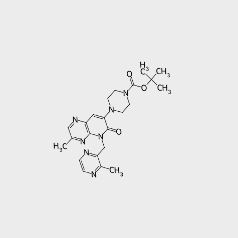 Cc1cnc2cc(N3CCN(C(=O)OC(C)(C)C)CC3)c(=O)n(Cc3nccnc3C)c2n1